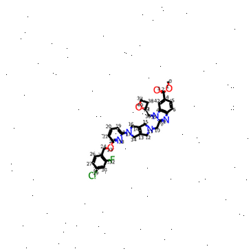 COC(=O)c1ccc2nc(CN3CC4=C(C3)CN(c3cccc(OCc5ccc(Cl)cc5F)n3)C4)n(C[C@@H]3CCO3)c2c1